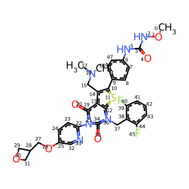 CONC(=O)Nc1ccc(-c2sc3c(c2CN(C)C)c(=O)n(-c2ccc(OCC4COC4)cn2)c(=O)n3Cc2c(F)cccc2F)cc1